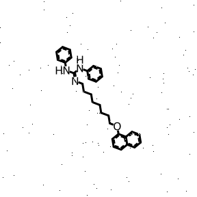 c1ccc(NC(=NCCCCCCCCOc2cccc3ccccc23)Nc2ccccc2)cc1